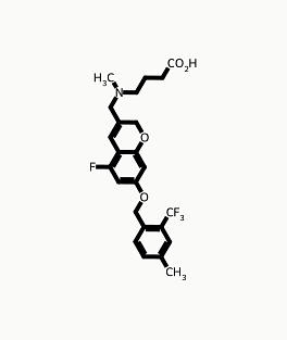 Cc1ccc(COc2cc(F)c3c(c2)OCC(CN(C)CCCC(=O)O)=C3)c(C(F)(F)F)c1